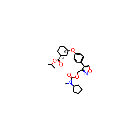 CC(C)OC(=O)[C@H]1CCC[C@H](Oc2ccc(-c3conc3COC(=O)N(C)C3CCCC3)cc2)C1